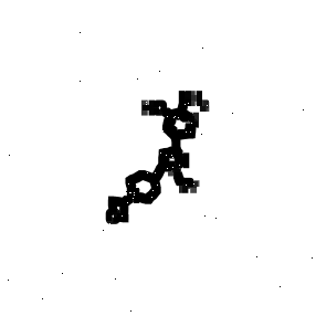 CC(C)n1nc(-c2cnc(N)c(O)c2)cc1C1CCN(C2COC2)CC1